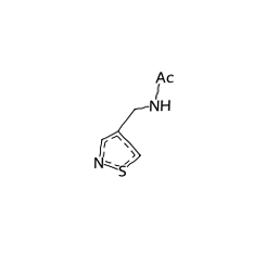 CC(=O)NCc1cnsc1